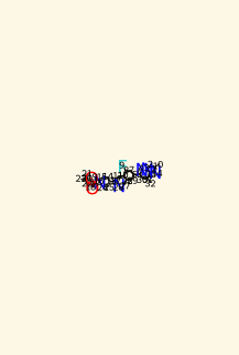 Cc1cn2nc(-c3cc(F)c4cc(C5=CCN(C(=O)OC(C)(C)C)CC5)ncc4c3)cc(C)c2n1